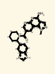 Cn1ncc2c(N)nc3ncc(C(=O)N4CCCCC4c4ccc5scnc5c4)cc3c21